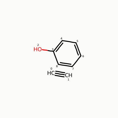 C#C.Oc1ccccc1